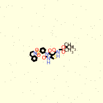 CC(C)(C)OC(=O)CNC(=O)c1scc2[nH]c(=O)n(-c3cccc(S(=O)(=O)N4CCCc5ccccc54)c3)c(=O)c12